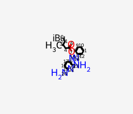 CCC(C)CC(C)CC(=O)Oc1ccccc1/N=N/c1ccc(N)nc1N